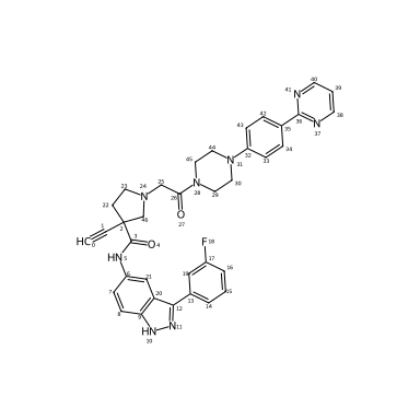 C#CC1(C(=O)Nc2ccc3[nH]nc(-c4cccc(F)c4)c3c2)CCN(CC(=O)N2CCN(c3ccc(-c4ncccn4)cc3)CC2)C1